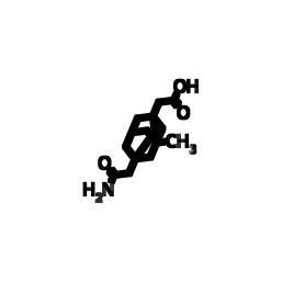 CC12CC3CC(CC(N)=O)(C1)CC(CC(=O)O)(C3)C2